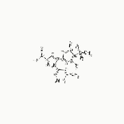 Cc1cncc(-n2nc(C(F)F)cc2-c2cc(F)c(S(C)(=O)=O)c(F)c2)c1